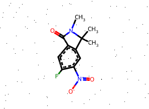 CN1C(=O)c2cc(F)c([N+](=O)[O-])cc2C1(C)C